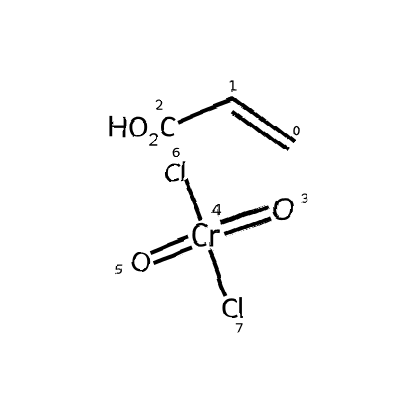 C=CC(=O)O.[O]=[Cr](=[O])([Cl])[Cl]